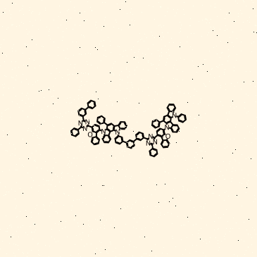 c1ccc(-c2cccc(-c3nc(-c4ccccc4)nc(-c4ccc(-n5c6ccccc6c6c5c(-c5ccccc5)cc5c7ccccc7n(-c7cccc(-c8cccc(-c9cccc(-c%10nc(-c%11ccccc%11)nc(-c%11ccc(-n%12c%13ccccc%13c%13c%12c(-c%12ccccc%12)cc%12c%14ccccc%14n(-c%14ccccc%14)c%12%13)c%12oc%13ccccc%13c%11%12)n%10)c9)c8)c7)c56)c5c4oc4ccccc45)n3)c2)cc1